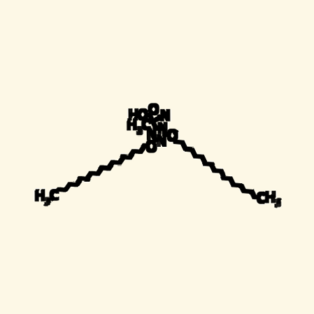 CCCCCCCCCCCCCCCCCCOc1nc(OCCCCCCCCCCCCCCCCCC)nc(C(C)(C#N)C(=O)O)n1